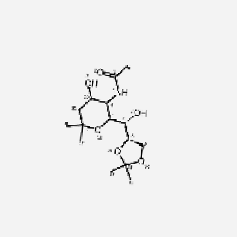 CC(=O)NC1C([C@H](O)[C@H]2COC(C)(C)O2)OC(C)(C)C[C@H]1O